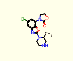 CC1CNCCN1c1nc2cc(Cl)cc(N3CCOC3=O)c2o1